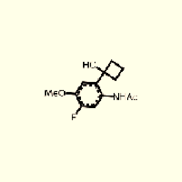 COc1cc(C2(O)CCC2)c(NC(C)=O)cc1F